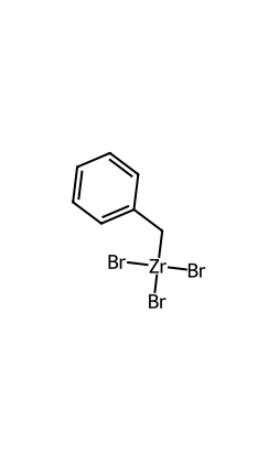 [Br][Zr]([Br])([Br])[CH2]c1ccccc1